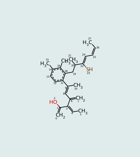 C=C(O)/C(=C/C)C(=C)/C=C(\C)c1ccc(C)c(C)c1CC(C)/C(S)=C/C=C\C